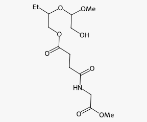 CCC(COC(=O)CCC(=O)NCC(=O)OC)OC(CO)OC